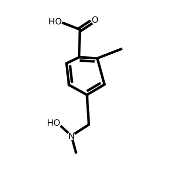 Cc1cc(CN(C)O)ccc1C(=O)O